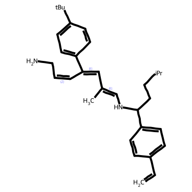 C=Cc1ccc(C(CCC(C)C)N/C=C(C)/C=C(\C=C/CN)c2ccc(C(C)(C)C)cc2)cc1